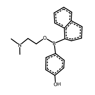 CN(C)CCOB(c1ccc(O)cc1)c1cccc2ccccc12